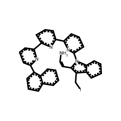 N/C=C\c1c(CI)c2ccccc2n1-c1cccc(-c2cccc(-c3cccc(-c4cccc5ccccc45)n3)n2)n1